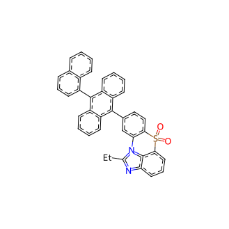 CCc1nc2cccc3c2n1-c1cc(-c2c4ccccc4c(-c4cccc5ccccc45)c4ccccc24)ccc1S3(=O)=O